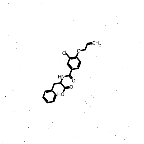 C=CCOc1ccc(C(=O)NC(Cc2ccccc2)C(=O)O)cc1Cl